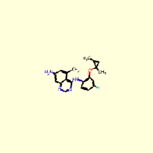 Cc1cc(N)cc2ncnc(Nc3ccc(F)cc3OC3(C)CC3C)c12